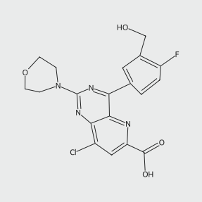 O=C(O)c1cc(Cl)c2nc(N3CCOCC3)nc(-c3ccc(F)c(CO)c3)c2n1